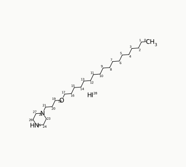 CCCCCCCCCCCCCCCCCCOCCCN1CCNCC1.I